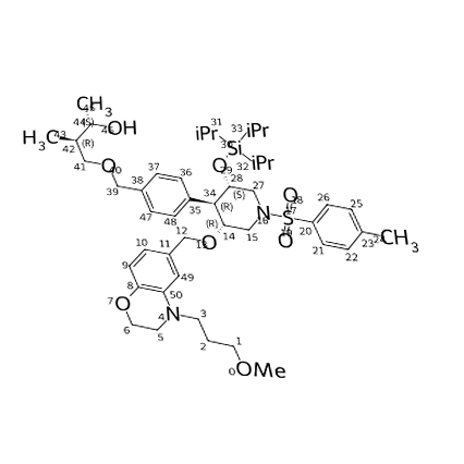 COCCCN1CCOc2ccc(CO[C@H]3CN(S(=O)(=O)c4ccc(C)cc4)C[C@@H](O[Si](C(C)C)(C(C)C)C(C)C)[C@@H]3c3ccc(COC[C@@H](C)[C@H](C)O)cc3)cc21